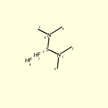 CN(C)SN(C)C.F.F